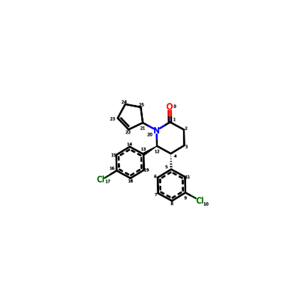 O=C1CC[C@H](c2cccc(Cl)c2)[C@@H](c2ccc(Cl)cc2)N1C1C=CCC1